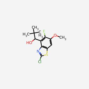 COc1cc2sc(Cl)nc2c(C(O)C(C)(C)C)c1F